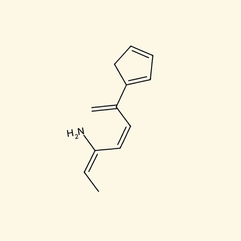 C=C(/C=C\C(N)=C/C)C1=CC=CC1